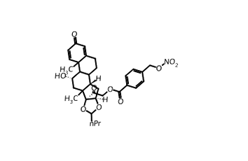 CCCC1O[C@@H]2C[C@H]3C4CCC5=CC(=O)C=CC5(C)C4[C@@H](O)CC3(C)[C@]2(C(=O)COC(=O)c2ccc(CO[N+](=O)[O-])cc2)O1